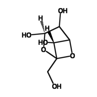 OCC12OC(C(O)[C@H](O)O1)[C@H]2O